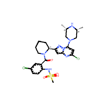 C[C@@H]1CN(c2cc(Cl)nc3cc([C@@H]4CCCCN4C(=O)c4cc(Cl)ccc4NS(C)(=O)=O)nn23)C[C@H](C)N1